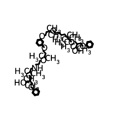 CC(C)(CCOc1cccc(OCCC(C)(C)OCCCNCC(C)(C)OCC(COc2ccccc2)C(C)(C)O)c1)OCCCCC(C)(C)C(C)(C)OCC(COc1ccccc1)C(C)(C)O